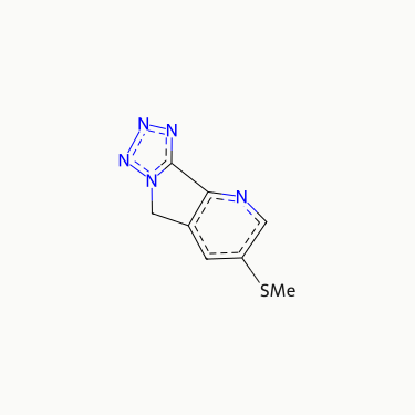 CSc1cnc2c(c1)Cn1nnnc1-2